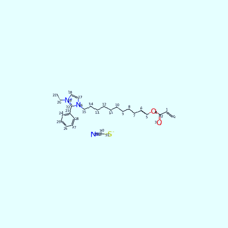 C=CC(=O)OCCCCCCCCCCCn1cc[n+](CC)c1-c1ccccc1.N#C[S-]